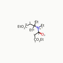 CCOC(=O)CC(=O)N(CC)C(CC)(CC)CC(=O)OCC